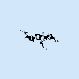 CCCOC1CN(c2ncc(C(=O)OCC)s2)CCC1NC(=O)c1nc(Cl)c(CC)[nH]1